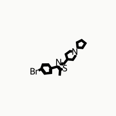 Cc1sc(C2CCN(C3CCCC3)CC2)nc1-c1ccc(Br)cc1